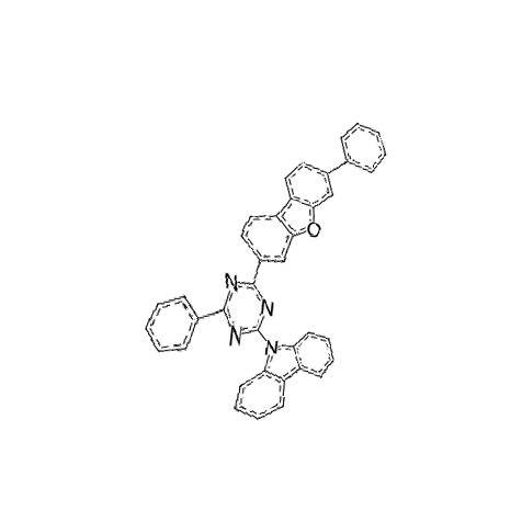 c1ccc(-c2ccc3c(c2)oc2cc(-c4nc(-c5ccccc5)nc(-n5c6ccccc6c6ccccc65)n4)ccc23)cc1